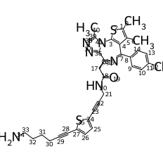 Cc1sc2c(c1C)C(c1ccc(Cl)cc1)=N[C@@H](CC(=O)NCC#Cc1ccc(C#CCCCCN)s1)c1nnc(C)n1-2